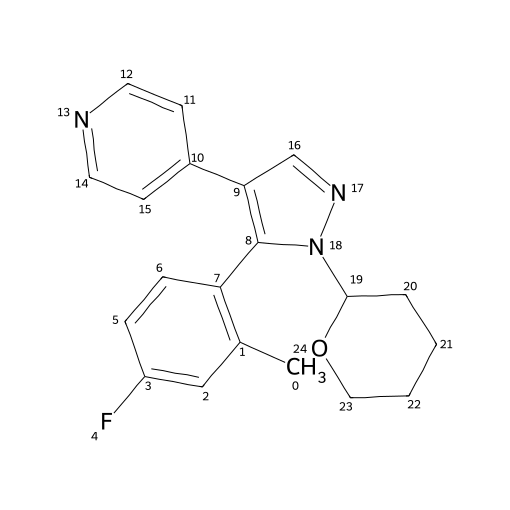 Cc1cc(F)ccc1-c1c(-c2ccncc2)cnn1C1CCCCO1